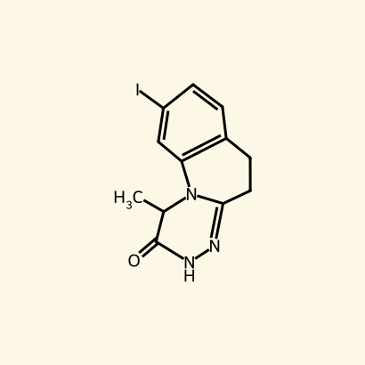 CC1C(=O)NN=C2CCc3ccc(I)cc3N21